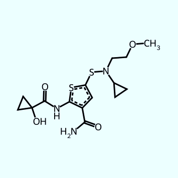 COCCN(Sc1cc(C(N)=O)c(NC(=O)C2(O)CC2)s1)C1CC1